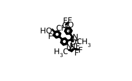 Cc1nc(-c2ccc3c(c2)OC(F)(F)O3)c(-c2cc(-c3cc(C)c(CO)c(F)c3)ccc2-n2nc(C(F)(F)F)cc2C)o1